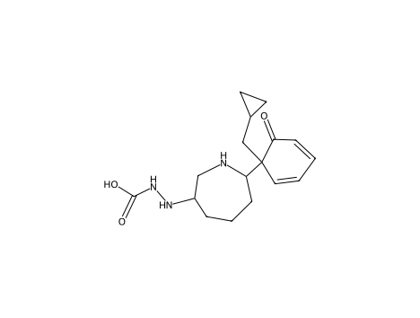 O=C(O)NNC1CCCC(C2(CC3CC3)C=CC=CC2=O)NC1